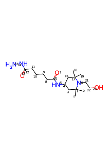 CC1(C)CC(NC(=O)CCCCC(=O)NN)CC(C)(C)N1CCO